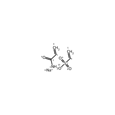 C=CC(N)=O.C=CS(=O)(=O)[O-].[Na+]